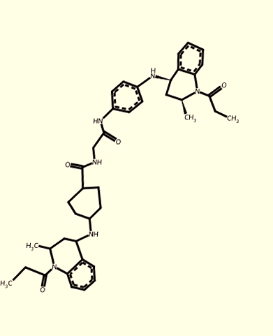 CCC(=O)N1c2ccccc2C(NC2CCC(C(=O)NCC(=O)Nc3ccc(N[C@@H]4C[C@H](C)N(C(=O)CC)c5ccccc54)cc3)CC2)CC1C